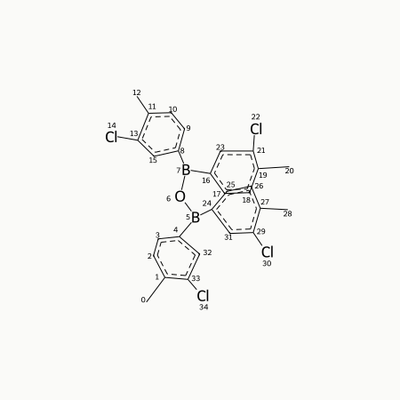 Cc1ccc(B(OB(c2ccc(C)c(Cl)c2)c2ccc(C)c(Cl)c2)c2ccc(C)c(Cl)c2)cc1Cl